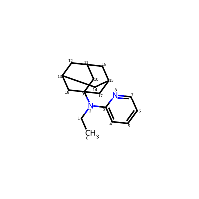 CCN(c1ccccn1)C12CC3CC(CC(C3)C1)C2